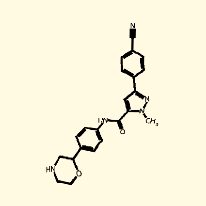 Cn1nc(-c2ccc(C#N)cc2)cc1C(=O)Nc1ccc(C2CNCCO2)cc1